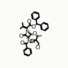 CC(C)=C(C(=O)OC(c1ccccc1)c1ccccc1)N1C(=O)[C@H](NC(=O)c2ccccc2)[C@H]1O[C@@H](C)C(=O)CCl